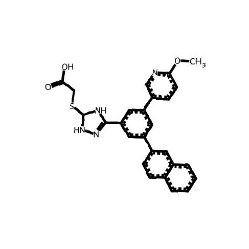 COc1ccc(-c2cc(C3=NNC(SCC(=O)O)N3)cc(-c3ccc4ccccc4c3)c2)cn1